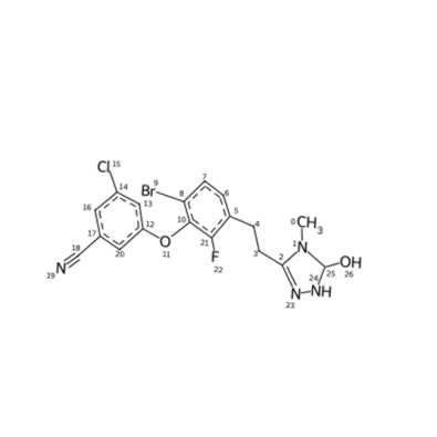 CN1C(CCc2ccc(Br)c(Oc3cc(Cl)cc(C#N)c3)c2F)=NNC1O